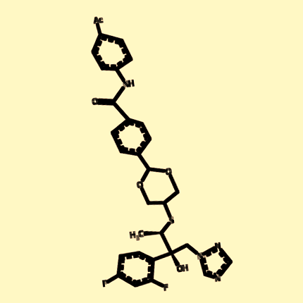 CC(=O)c1ccc(NC(=O)c2ccc(C3OCC(S[C@H](C)[C@](O)(Cn4cncn4)c4ccc(F)cc4F)CO3)cc2)cc1